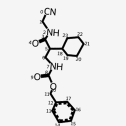 N#CCNC(=O)C(CNC(=O)OCc1ccccc1)C1CCCCC1